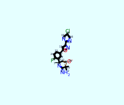 CC1(C)C(N)=N[C@](C)(c2cc(-c3cc(-c4ncc(Cl)cn4)no3)ccc2F)C[S@+]1[O-]